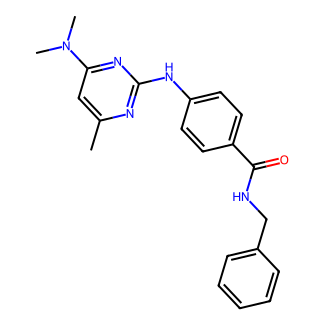 Cc1cc(N(C)C)nc(Nc2ccc(C(=O)NCc3ccccc3)cc2)n1